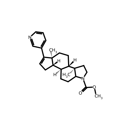 COC(=O)N1CC[C@@]2(C)C1CC[C@@H]1[C@@H]2CC[C@]2(C)C(c3cccnc3)=CC[C@@H]12